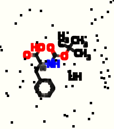 CC(C)(C)OC(=O)N[C@@H](Cc1ccccc1)C(=O)O.[LiH]